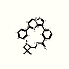 CC1(C)CNC1CNC(=O)c1ccnc(-c2cnn3ccc(-c4ccccc4)nc23)c1